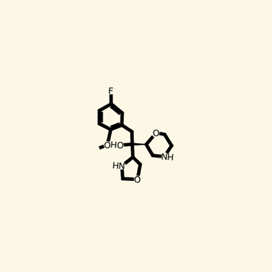 COc1ccc(F)cc1CC(O)(C1COCN1)[C@@H]1CNCCO1